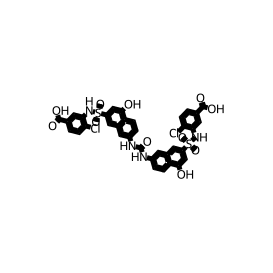 O=C(Nc1ccc2c(O)cc(S(=O)(=O)Nc3cc(C(=O)O)ccc3Cl)cc2c1)Nc1ccc2c(O)cc(S(=O)(=O)Nc3cc(C(=O)O)ccc3Cl)cc2c1